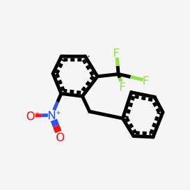 O=[N+]([O-])c1cc[c]c(C(F)(F)F)c1Cc1ccccc1